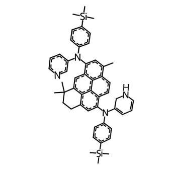 Cc1cc(N(c2ccc([Si](C)(C)C)cc2)c2cccnc2)c2cc3c4c(cc(N(C5=CC=CNC5)c5ccc([Si](C)(C)C)cc5)c5ccc1c2c54)CCC3(C)C